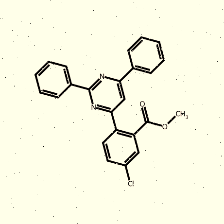 COC(=O)c1cc(Cl)ccc1-c1cc(-c2ccccc2)nc(-c2ccccc2)n1